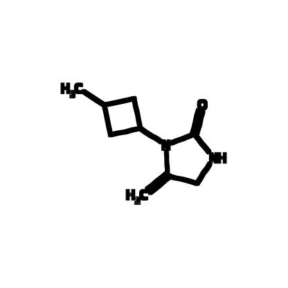 C=C1CNC(=O)N1C1CC(C)C1